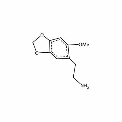 COc1cc2c(cc1CCN)OCO2